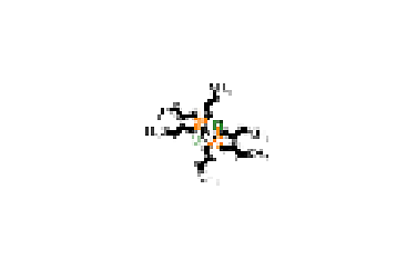 CCCC[PH](CCCC)(CCCC)[Pd]([Cl])([Cl])[PH](CCCC)(CCCC)CCCC